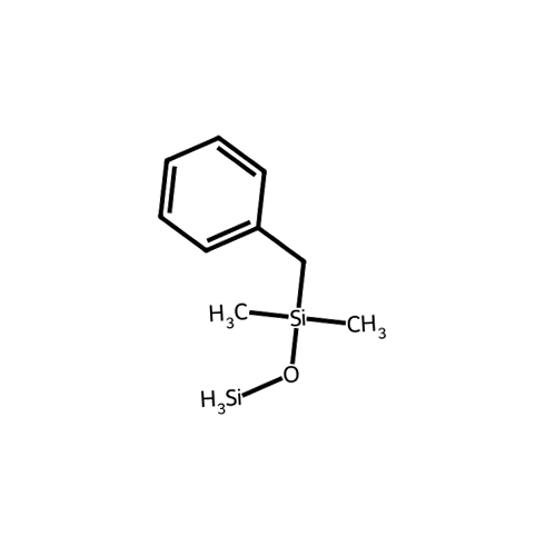 C[Si](C)(Cc1ccccc1)O[SiH3]